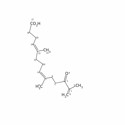 C=C(C)C(=O)CC/C(C)=C\CC/C(C)=C/CCC(=O)O